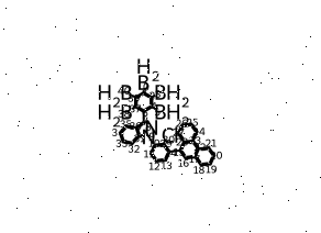 Bc1c(B)c(B)c(-c2nn(-c3cccc(-c4cc5ccccc5c5ccccc45)c3Cl)c3ccccc23)c(B)c1B